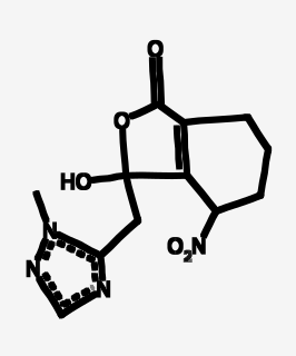 Cn1ncnc1CC1(O)OC(=O)C2=C1C([N+](=O)[O-])CCC2